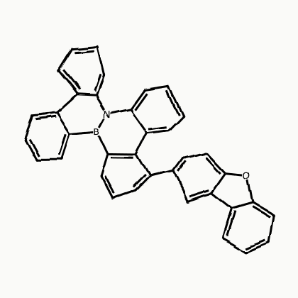 c1ccc2c(c1)B1c3cccc(-c4ccc5oc6ccccc6c5c4)c3-c3ccccc3N1c1ccccc1-2